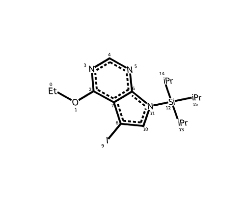 CCOc1ncnc2c1c(I)cn2[Si](C(C)C)(C(C)C)C(C)C